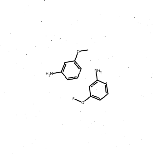 COc1cccc(N)c1.Nc1cccc(OF)c1